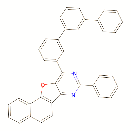 c1ccc(-c2cccc(-c3cccc(-c4nc(-c5ccccc5)nc5c4oc4c6ccccc6ccc54)c3)c2)cc1